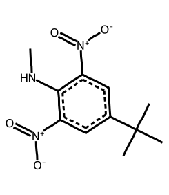 CNc1c([N+](=O)[O-])cc(C(C)(C)C)cc1[N+](=O)[O-]